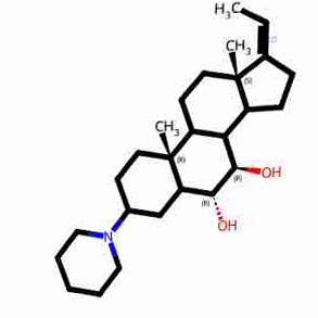 C/C=C1/CCC2C3C(CC[C@]12C)[C@@]1(C)CCC(N2CCCCC2)CC1[C@@H](O)[C@@H]3O